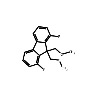 COCC1(COC)c2c(F)cccc2-c2cccc(F)c21